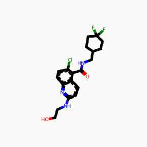 O=C(NCC1CCC(F)(F)CC1)c1c(Cl)ccc2nc(NCCO)ccc12